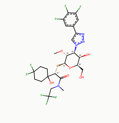 CO[C@@H]1[C@@H](n2cc(-c3cc(F)c(F)c(F)c3)nn2)[C@@H](O)[C@@H](CO)O[C@H]1S[C@H](C(=O)N(C)CC(F)(F)F)C1(O)CCC(F)(F)CC1